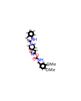 COc1ccc(CNC(=O)OC2=NOC3(CCN(C(=S)Nc4ccccc4I)CC3)C2)cc1OC